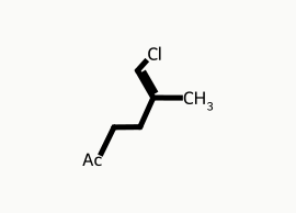 CC(=O)CCC(C)=CCl